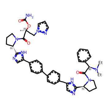 CCN(CC)[C@@H](C(=O)N1CCC[C@H]1c1ncc(-c2ccc(-c3ccc(-c4cnc([C@@H]5CCCN5C(=O)[C@](C)(Cn5cccn5)OC(N)=O)[nH]4)cc3)cc2)[nH]1)c1ccccc1